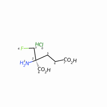 Cl.N[C@@](CF)(CCC(=O)O)C(=O)O